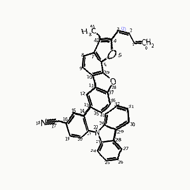 C=C/C=C\c1oc2c(ccc3c4cc(-c5cc(C#N)ccc5-n5c6ccccc6c6ccccc65)ccc4oc32)c1C